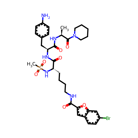 C[C@H](NC(=O)[C@H](Cc1ccc(N)cc1)NC(=O)[C@H](CCCCNC(=O)c1cc2ccc(Br)cc2o1)NS(C)(=O)=O)C(=O)N1CCCCC1